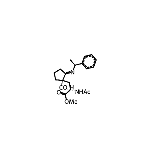 COC(=O)[C@H](C[C@@]1(C(=O)O)CCC/C1=N\[C@@H](C)c1ccccc1)NC(C)=O